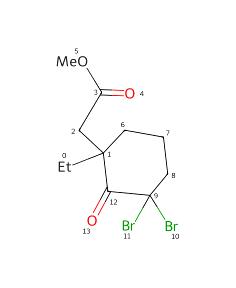 CCC1(CC(=O)OC)CCCC(Br)(Br)C1=O